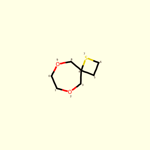 C1COCC2(CCS2)CO1